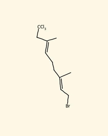 C/C(=C\CBr)CC/C=C(\C)CC(Cl)(Cl)Cl